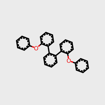 c1ccc(Oc2ccccc2-c2ccccc2-c2ccccc2Oc2ccccc2)cc1